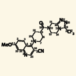 COc1ccc2c(N3CCC(C(=O)N4CCn5c(nnc5C(F)(F)F)C4)CC3)c(C#N)cnc2c1